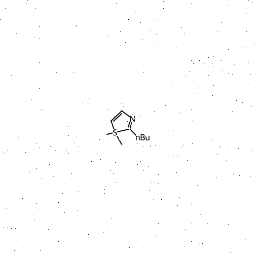 CCCCC1=NC=CS1(C)C